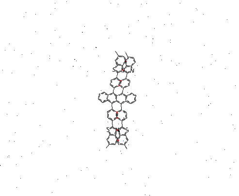 Cc1ccc2nc(-c3ccc(-c4c5ccccc5c(-c5ccc(-c6nc7ccc(C)cc7s6)cc5)c5c(-c6ccc(-c7nc8ccc(C)cc8s7)cc6)c6ccccc6c(-c6ccc(-c7nc8ccc(C)cc8s7)cc6)c45)cc3)sc2c1